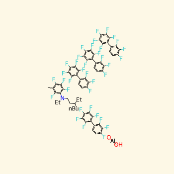 CCCCC(CC)CCN(CC)c1c(F)c(C)c(F)c(F)c1F.Fc1ccc(-c2c(F)c(F)c(F)c(F)c2F)c(F)c1F.Fc1ccc(-c2c(F)c(F)c(F)c(F)c2F)c(F)c1F.Fc1ccc(-c2c(F)c(F)c(F)c(F)c2F)c(F)c1F.Fc1ccc(-c2c(F)c(F)c(F)c(F)c2F)c(F)c1F.[O]=[Al][OH]